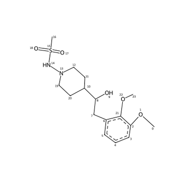 COc1cccc(CC(O)C2CCN(NS(C)(=O)=O)CC2)c1OC